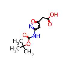 CC(C)(C)OC(=O)Nc1cc(CC(=O)O)on1